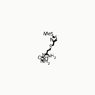 CSc1nc(CSCC/C(N)=N/S(N)(=O)=O)cs1